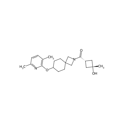 Cc1ccc(C)c(OC2CCC3(CC2)CN(C(=O)[C@H]2C[C@@](C)(O)C2)C3)n1